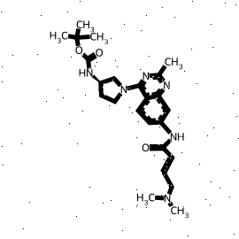 Cc1nc(N2CC[C@@H](NC(=O)OC(C)(C)C)C2)c2ccc(NC(=O)/C=C/CN(C)C)cc2n1